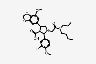 CCCCN(CCC)C(=O)CN1CC(c2cc(OC)c3c(c2)OCO3)C(C(=O)O)C1c1ccc(OC)c(F)c1